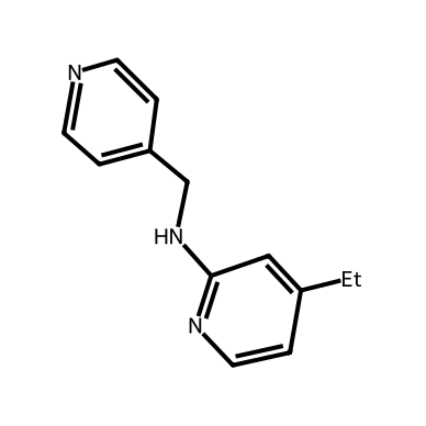 CCc1ccnc(NCc2ccncc2)c1